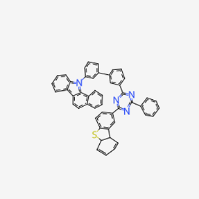 C1=CC2Sc3ccc(-c4nc(-c5ccccc5)nc(-c5cccc(-c6cccc(-n7c8ccccc8c8ccc9ccccc9c87)c6)c5)n4)cc3C2C=C1